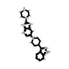 c1ccc2c(C3CCN(c4cnc5oc(N6CCOCC6)nc5c4)CC3)n[nH]c2c1